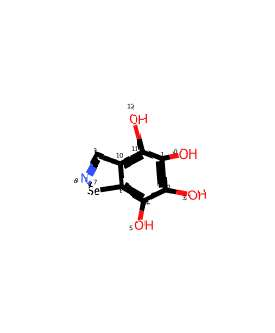 Oc1c(O)c(O)c2[se]ncc2c1O